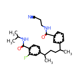 CC(C)NC(=O)c1ccc(C(C)CCC(C)c2cccc(C(=O)NCCC#N)c2)cc1F